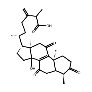 C=C(CC[C@@H](C)[C@H]1CC[C@@]2(O)C3=C(C(=O)C[C@]12C)[C@@]1(C)CCC(=O)[C@@H](C)C1CC3=O)C(C)C(=O)O